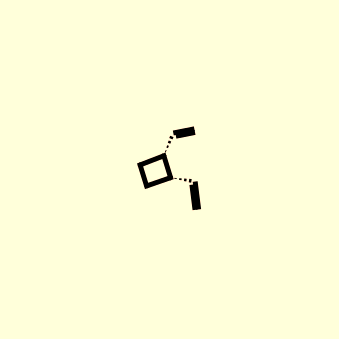 C=C[C@@H]1CC[C@@H]1C=C